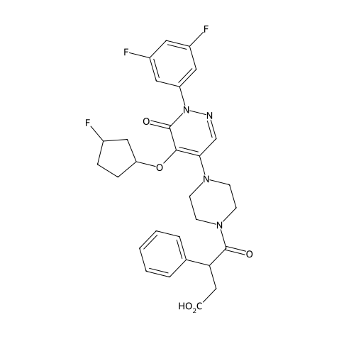 O=C(O)CC(C(=O)N1CCN(c2cnn(-c3cc(F)cc(F)c3)c(=O)c2OC2CCC(F)C2)CC1)c1ccccc1